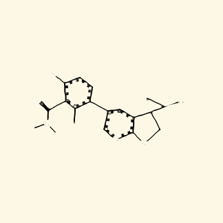 CCC[C@@H]1C[C@@]12CNc1ncc(-c3ccc(N)c(C(=O)N(C)C)c3F)cc12